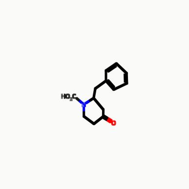 O=C1CCN(C(=O)O)C(Cc2ccccc2)C1